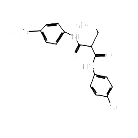 CCCCCCCCCCCC(C(=O)Nc1ccc([N+](=O)[O-])cc1)C(=O)Nc1ccc([N+](=O)[O-])cc1